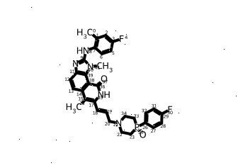 Cc1cc(F)ccc1Nc1nc2ccc3c(C)c(C=CCN4CCP(=O)(c5ccc(F)cc5)CC4)[nH]c(=O)c3c2n1C